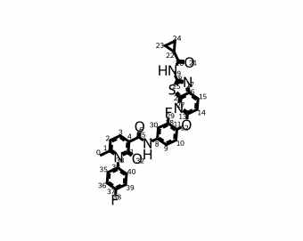 Cc1ccc(C(=O)Nc2ccc(Oc3ccc4nc(NC(=O)C5CC5)sc4n3)c(F)c2)c(=O)n1-c1ccc(F)cc1